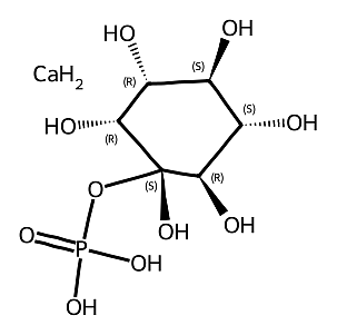 O=P(O)(O)O[C@]1(O)[C@H](O)[C@H](O)[C@@H](O)[C@H](O)[C@H]1O.[CaH2]